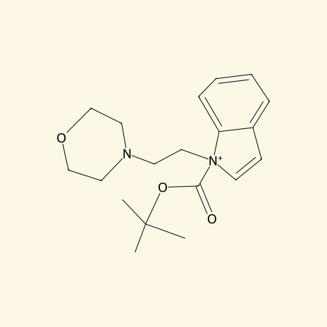 CC(C)(C)OC(=O)[N+]1(CCN2CCOCC2)C=Cc2ccccc21